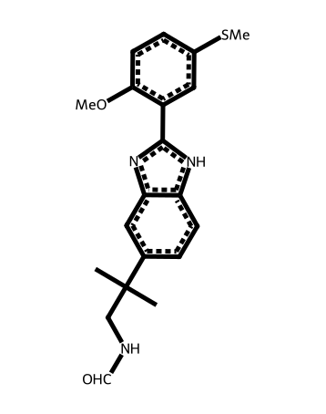 COc1ccc(SC)cc1-c1nc2cc(C(C)(C)CNC=O)ccc2[nH]1